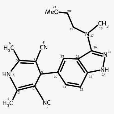 [C-]#[N+]C1=C(C)NC(C)=C(C#N)C1c1ccc2[nH]nc(N(C)CCOC)c2c1